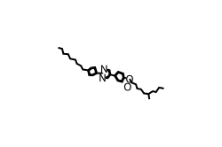 CCCCCCCCCc1ccc(-c2ncc(-c3ccc(OC(=O)CCCCC(C)CCCC)cc3)cn2)cc1